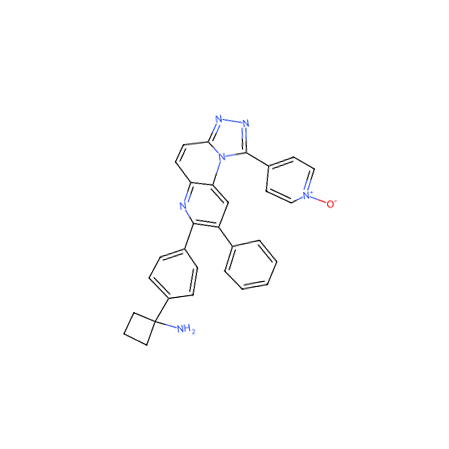 NC1(c2ccc(-c3nc4ccc5nnc(-c6cc[n+]([O-])cc6)n5c4cc3-c3ccccc3)cc2)CCC1